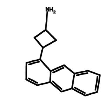 NC1CC(c2cccc3cc4ccccc4cc23)C1